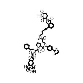 CN(CCCC#Cc1cccc2c1CN(C1CCC(=O)NC1=O)C2=O)C(=O)CCN(C(=O)[C@@H]1CCCN1C(=O)[C@H](CCc1ccccc1)NC(=O)c1cc2cc(C(F)(F)P(=O)(O)O)ccc2s1)c1ccc(-c2nccs2)cc1